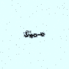 C[C@H](O)c1nccn1Cc1cc(-c2ccc(C#Cc3ccccn3)cc2)on1